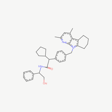 Cc1cc(C)c2c3c(n(Cc4ccc(C(C(=O)NC(CO)c5ccccc5)C5CCCC5)cc4)c2n1)CCCC3